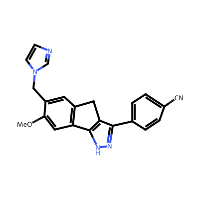 COc1cc2c(cc1Cn1ccnc1)Cc1c(-c3ccc(C#N)cc3)n[nH]c1-2